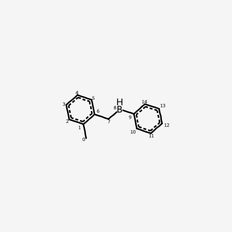 Cc1ccccc1CBc1ccccc1